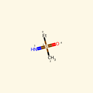 CCS(C)(=N)=O